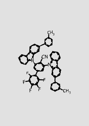 Cc1cccc(-c2ccc3c4ccccc4n(-c4cc(-c5c(F)c(F)c(F)c(F)c5F)cc(-n5c6ccccc6c6ccc(-c7cccc(C)c7)cc65)c4C#N)c3c2)c1